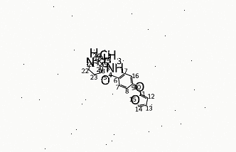 C[C@H]1[C@H](NC(=O)c2ccc(Oc3ccco3)cc2)C2CCN1CC2